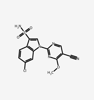 COc1nc(-n2cc(S(N)(=O)=O)c3ccc(Cl)cc32)ncc1C#N